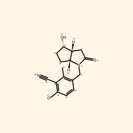 Cc1c(CN2C(=O)C[C@@H]3[C@H]2CC[C@@H]3O)ccc(Cl)c1C#N